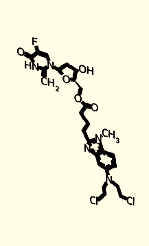 C=C1NC(=O)C(F)=CN1C1C[C@@H](O)[C@@H](COC(=O)CCCc2nc3cc(N(CCCl)CCCl)ccc3n2C)O1